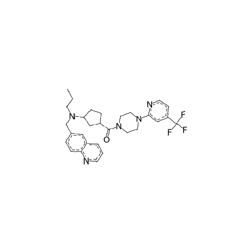 CCCN(Cc1ccc2ncccc2c1)C1CCC(C(=O)N2CCN(c3cc(C(F)(F)F)ccn3)CC2)C1